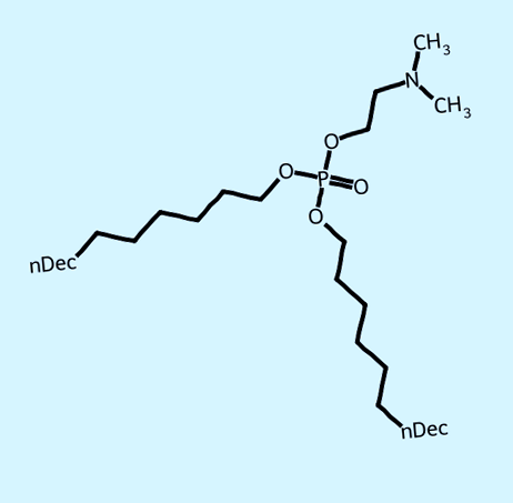 CCCCCCCCCCCCCCCCOP(=O)(OCCCCCCCCCCCCCCCC)OCCN(C)C